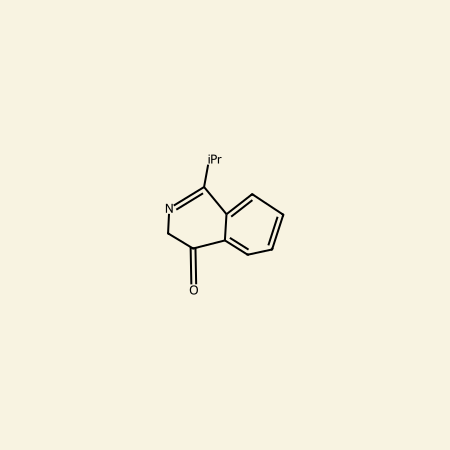 CC(C)C1=NCC(=O)c2ccccc21